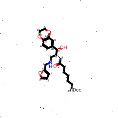 CCCCCCCCCCCCCCCC(=O)C[C@H](CNCc1ccco1)[C@H](O)c1ccc2c(c1)OCCO2